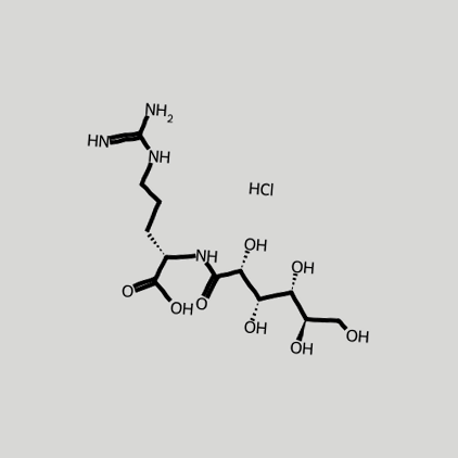 Cl.N=C(N)NCCC[C@H](NC(=O)[C@H](O)[C@@H](O)[C@H](O)[C@H](O)CO)C(=O)O